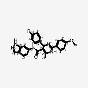 COc1ccc(C2=NC(c3ccc(F)cc3)C(C(=O)Nc3ccc4cn[nH]c4c3)=C(C)N2)cc1